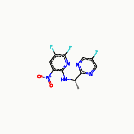 C[C@H](Nc1nc(F)c(F)cc1[N+](=O)[O-])c1ncc(F)cn1